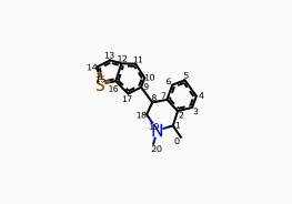 CC1c2ccccc2C(c2ccc3ccsc3c2)CN1C